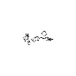 Cc1ncnc(C)c1C(=O)N1CC2=CN(CCC3(c4ccccc4)CNC3)CC2C1